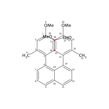 COc1cc(C)c(-c2cccc3cccc(-c4cc(OC)c(OC)cc4C)c23)cc1C=O